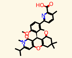 COc1ccc(-c2ccc(C)c(C(=O)O)n2)c(C)c1[C@H]1C2=C(CC(C)(C)CC2=O)Oc2cc(C(C)C)n(C)c(=O)c21